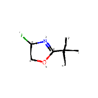 CC(C)(C)C1=NC(F)CO1